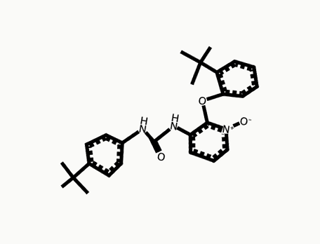 CC(C)(C)c1ccc(NC(=O)Nc2ccc[n+]([O-])c2Oc2ccccc2C(C)(C)C)cc1